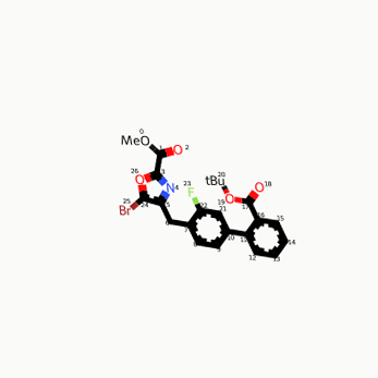 COC(=O)c1nc(Cc2ccc(-c3ccccc3C(=O)OC(C)(C)C)cc2F)c(Br)o1